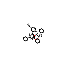 N#Cc1ccc(N2c3ccccc3OC3C=CC=CC32)c(-c2nc(-c3ccccc3)nc(-c3ccccc3)n2)c1